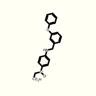 O=C(O)C[S+]([O-])c1ccc(NCc2cccc(Oc3ccccc3)c2)cc1